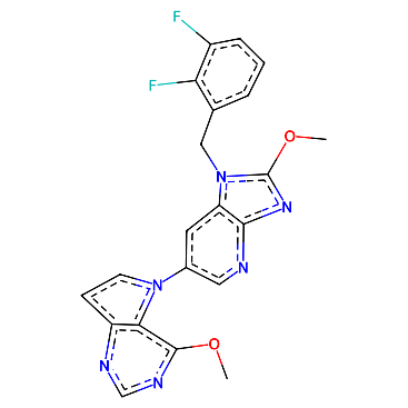 COc1ncnc2ccn(-c3cnc4nc(OC)n(Cc5cccc(F)c5F)c4c3)c12